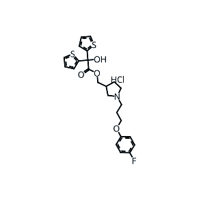 Cl.O=C(OCC1CCN(CCCOc2ccc(F)cc2)C1)C(O)(c1cccs1)c1cccs1